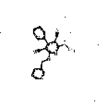 CNc1nc(NCc2cccnc2)c(C#N)c(-c2ccccc2)c1C#N